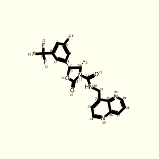 C[C@H]1[C@@H](c2cc(F)cc(C(F)(F)F)c2)OC(=O)N1C(=O)NCc1ccnc2cccnc12